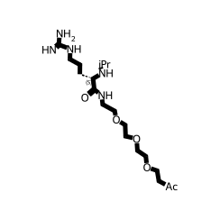 CC(=O)CCOCCOCCOCCNC(=O)[C@H](CCCNC(=N)N)NC(C)C